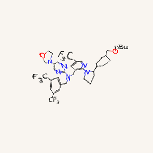 CCCCOCC1CCC([C@H]2CCCN2c2ncc(C(F)(F)F)cc2CN(Cc2cc(C(F)(F)F)cc(C(F)(F)F)c2)c2ncc(N3CCOCC3)cn2)CC1